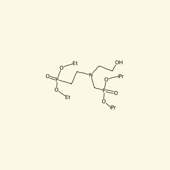 CCOP(=O)(CCN(CCO)CP(=O)(OC(C)C)OC(C)C)OCC